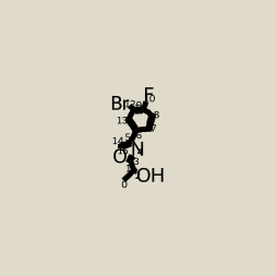 CC(O)c1nc(-c2ccc(F)c(Br)c2)co1